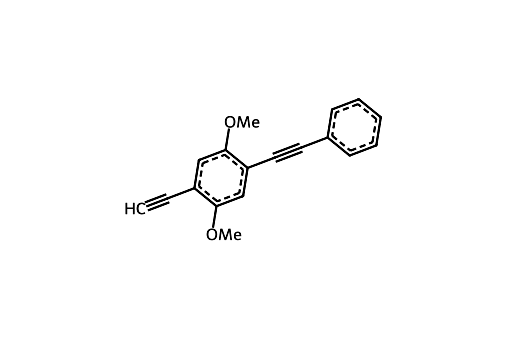 C#Cc1cc(OC)c(C#Cc2ccccc2)cc1OC